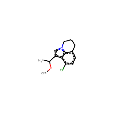 CC(OC=O)c1cn2c3c(ccc(Cl)c13)CCC2